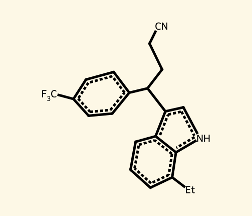 CCc1cccc2c(C(CCC#N)c3ccc(C(F)(F)F)cc3)c[nH]c12